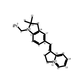 CC(C)CN1c2ccc(C=C3CC[n+]4ccccc43)cc2CC1(C)C